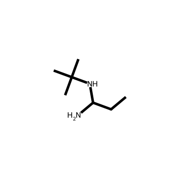 CCC(N)NC(C)(C)C